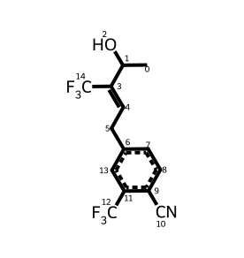 CC(O)/C(=C/Cc1ccc(C#N)c(C(F)(F)F)c1)C(F)(F)F